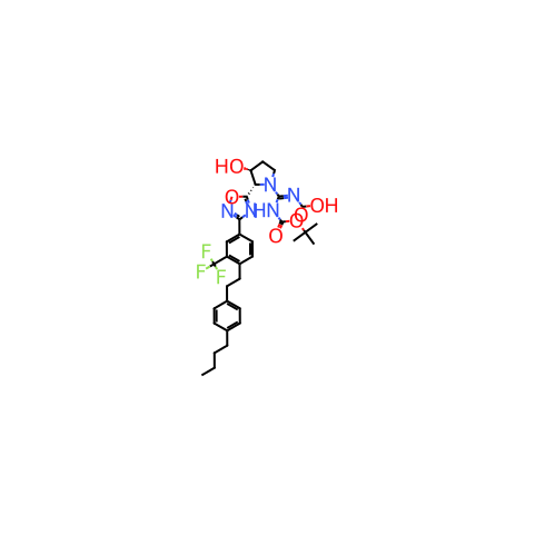 CCCCc1ccc(CCc2ccc(-c3noc([C@@H]4[C@@H](O)CCN4/C(=N/C(=O)O)NC(=O)OC(C)(C)C)n3)cc2C(F)(F)F)cc1